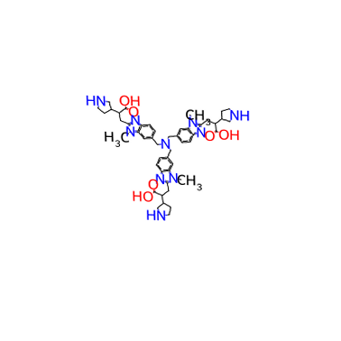 Cn1c(CC(C(=O)O)C2CCNC2)nc2ccc(CN(Cc3ccc4nc(CC(C(=O)O)C5CCNC5)n(C)c4c3)Cc3ccc4nc(CC(C(=O)O)C5CCNC5)n(C)c4c3)cc21